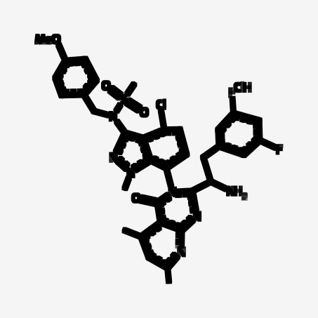 COc1ccc(CN(c2nn(C)c3c(-n4c(C(N)Cc5cc(F)cc(F)c5)nc5nc(C)cc(C)c5c4=O)ccc(Cl)c23)S(C)(=O)=O)cc1.Cl